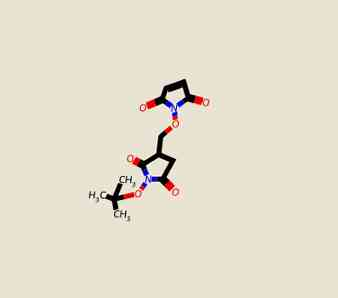 CC(C)(C)ON1C(=O)CC(CON2C(=O)C=CC2=O)C1=O